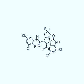 O=C(Nc1cc(Cl)cc(Cl)c1F)C1C2CC(F)(F)CN2C2(C(=O)Nc3c(Cl)cc(Cl)cc32)C1C(=O)O